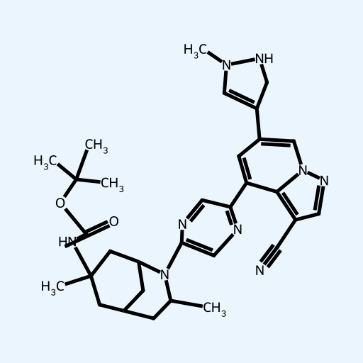 CC1CC2CC(CC(C)(NC(=O)OC(C)(C)C)C2)N1c1cnc(-c2cc(C3=CN(C)NC3)cn3ncc(C#N)c23)cn1